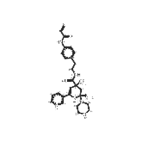 C=CC(=O)Nc1ccc(CCNC(=O)C2(C(F)(F)F)C=C(c3cccnc3)NC(N)(N3CCOCC3)C2)cc1